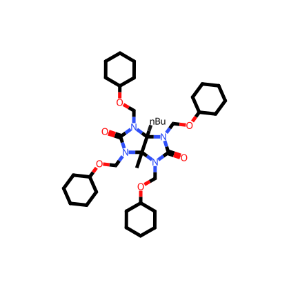 CCCCC12N(COC3CCCCC3)C(=O)N(COC3CCCCC3)C1(C)N(COC1CCCCC1)C(=O)N2COC1CCCCC1